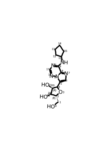 OC[C@H]1OC(c2cnc3c(NC4CCCC4)ncnn23)[C@H](O)[C@@H]1O